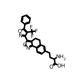 NC(CCc1ccc2c(c1)CCc1c-2noc1-c1noc(-c2ccccc2)c1C(F)(F)F)C(=O)O